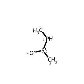 CP[S+](C)[O-]